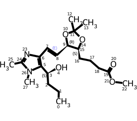 CCC[C@H](O)c1c(/C=C/[C@H]2OC(C)(C)O[C@H]2CCCC(=O)OC)nc(C)n1C